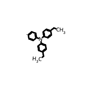 CCc1ccc(N(c2cc[c]cc2)c2ccc(CC)cc2)cc1